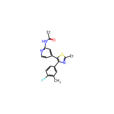 CCC(=O)Nc1cc(-c2sc(CC)nc2-c2ccc(F)c(C)c2)ccn1